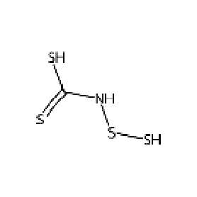 S=C(S)NSS